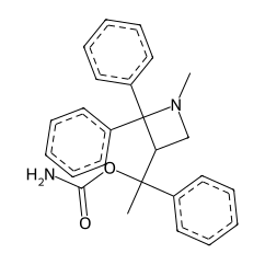 CN1CC(C(C)(OC(N)=O)c2ccccc2)C1(c1ccccc1)c1ccccc1